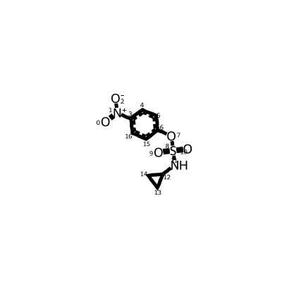 O=[N+]([O-])c1ccc(OS(=O)(=O)NC2CC2)cc1